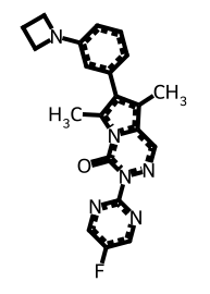 Cc1c(-c2cccc(N3CCC3)c2)c(C)n2c(=O)n(-c3ncc(F)cn3)ncc12